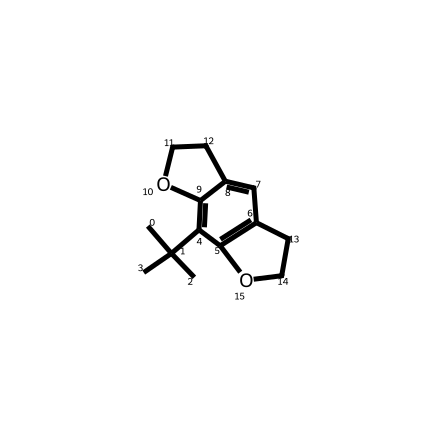 CC(C)(C)c1c2c(cc3c1OCC3)CCO2